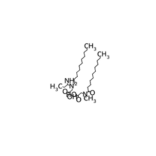 CCCCCCCCCCCC(=O)N(C)CC(=O)O.CCCCCCCCCCCCN(CC(=O)O)C(N)CC